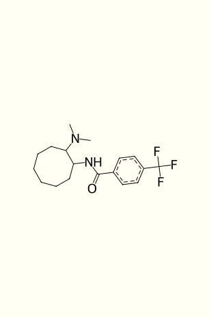 CN(C)C1CCCCCCC1NC(=O)c1ccc(C(F)(F)F)cc1